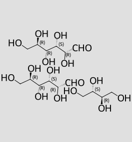 O=C[C@H](O)[C@@H](O)[C@H](O)[C@H](O)CO.O=C[C@H](O)[C@@H](O)[C@H](O)[C@H](O)CO.OC[C@@H](O)[C@@H](O)CO